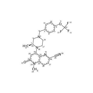 C[C@H]1CN(Cc2ccc(OC(F)(F)F)cc2)CCN1c1cc(=O)n(C)c2ccc(C#N)nc12